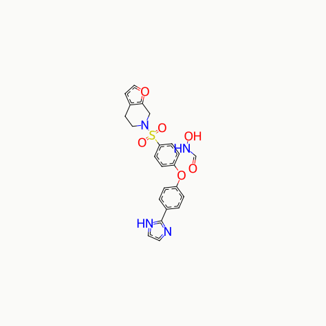 O=CNO.O=S(=O)(c1ccc(Oc2ccc(-c3ncc[nH]3)cc2)cc1)N1CCc2ccoc2C1